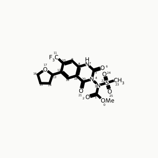 COC(=O)N(n1c(=O)[nH]c2cc(C(F)(F)F)c(C3CCCO3)cc2c1=O)S(C)(=O)=O